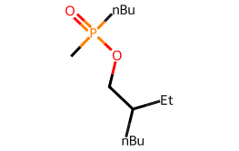 CCCCC(CC)COP(C)(=O)CCCC